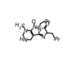 CC(C)CC1N=C2C3=C(N(C)CNC3)[N+](=O)[N+]2(CC(C)C)C1=O